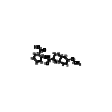 COc1ccc2nc(C(=O)Nc3ccccc3C(=O)O)ccc2c1